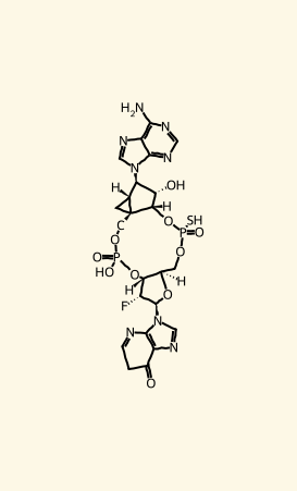 Nc1ncnc2c1ncn2[C@H]1[C@H](O)[C@@H]2O[P@](=O)(S)OC[C@H]3O[C@@H](n4cnc5c4N=CCC5=O)[C@H](F)[C@@H]3OP(=O)(O)OC[C@]23C[C@H]13